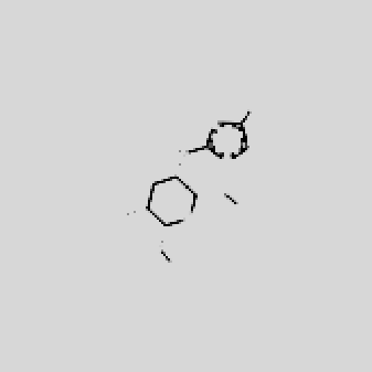 CO[C@@H]1O[C@H](CO)[C@H](O)[C@H](O)[C@@H]1Nc1nc(Cl)cs1